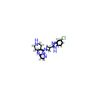 Clc1ccc2[nH]c(C3CN(c4c5c(nc6ccnn46)CCNCC5)C3)nc2c1